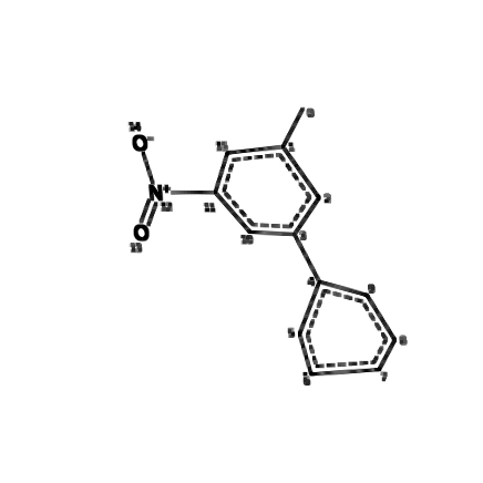 Cc1cc(-c2c[c]ccc2)cc([N+](=O)[O-])c1